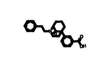 C[C@H]1C2CCCC1(c1cccc(C(=O)O)c1)CCN2CCc1ccccc1